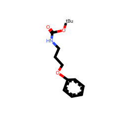 CC(C)(C)OC(=O)NCCCOc1c[c]ccc1